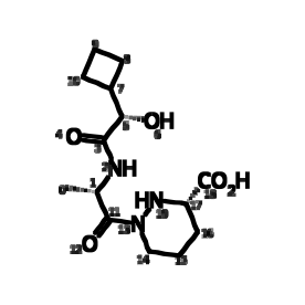 C[C@H](NC(=O)[C@@H](O)C1CCC1)C(=O)N1CCC[C@@H](C(=O)O)N1